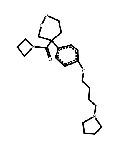 O=C(N1CCC1)C1(c2ccc(OCCCCN3CCCC3)cc2)CCOCC1